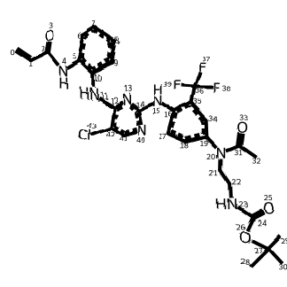 C=CC(=O)Nc1ccccc1Nc1nc(Nc2ccc(N(CCNC(=O)OC(C)(C)C)C(C)=O)cc2C(F)(F)F)ncc1Cl